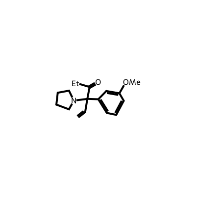 C=CC(C(=O)CC)(c1cccc(OC)c1)N1CCCC1